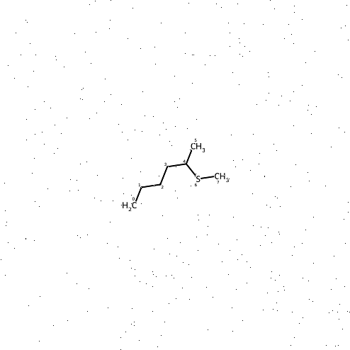 [CH2]CCCC(C)SC